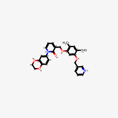 Cc1cc(C=O)c(OCc2cccnc2)cc1OCc1cccn(-c2ccc3c(c2)OCCO3)c1=O